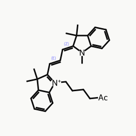 CC(=O)CCCC[N+]1=C(/C=C/C=C2\N(C)c3ccccc3C2(C)C)C(C)(C)c2ccccc21